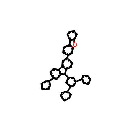 c1ccc(-c2cc(-c3ccccc3)cc(C3c4ccc(-c5ccc6c(c5)oc5ccccc56)cc4-c4ccc(-c5ccccc5)cc43)c2)cc1